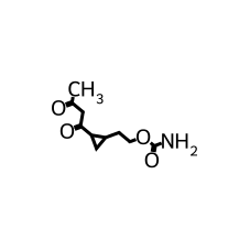 CC(=O)CC(=O)C1CC1CCOC(N)=O